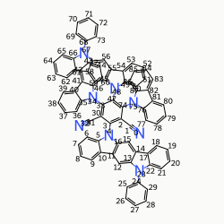 N#Cc1c(-n2c3ccccc3c3cc4c(cc32)c2ccccc2n4-c2ccccc2)c(C#N)c(-n2c3ccccc3c3ccccc32)c(-n2c3ccccc3c3cc4c(cc32)c2ccccc2n4-c2ccccc2)c1-n1c2ccccc2c2ccccc21